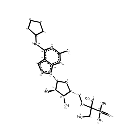 O=C(O)C(CO)(OC[C@H]1O[C@@H](n2ncc3c(NC4CCCC4)nc(Cl)nc32)[C@H](O)[C@@H]1O)P(=O)(O)O